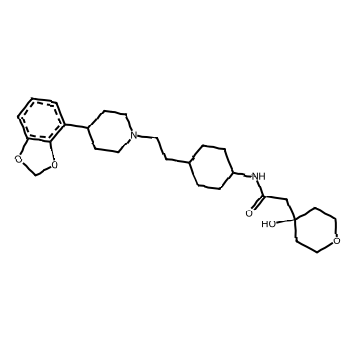 O=C(CC1(O)CCOCC1)NC1CCC(CCN2CCC(c3cccc4c3OCO4)CC2)CC1